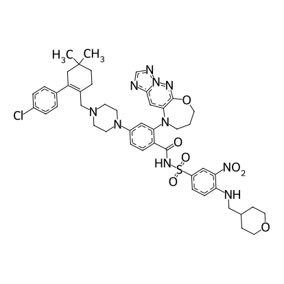 CC1(C)CCC(CN2CCN(c3ccc(C(=O)NS(=O)(=O)c4ccc(NCC5CCOCC5)c([N+](=O)[O-])c4)c(N4CCCOc5nn6ncnc6cc54)c3)CC2)=C(c2ccc(Cl)cc2)C1